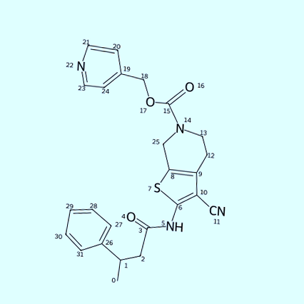 CC(CC(=O)Nc1sc2c(c1C#N)CCN(C(=O)OCc1ccncc1)C2)c1ccccc1